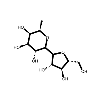 C[C@H]1O[C](C2O[C@H](CO)[C@@H](O)[C@@H]2O)[C@H](O)[C@@H](O)[C@H]1O